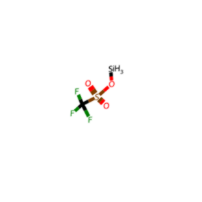 O=S(=O)(O[SiH3])C(F)(F)F